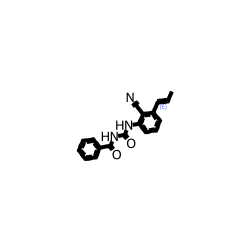 C/C=C/c1cccc(NC(=O)NC(=O)c2ccccc2)c1C#N